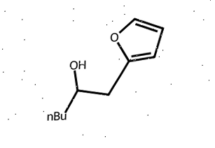 CCCCC(O)Cc1ccco1